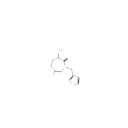 CNC1CCC(C)CN(Cc2ccsc2)C1=O